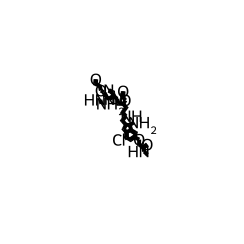 CNC(=O)COc1cc(Cl)c2c(c1)C(N)C(CNCCC1CN(c3cnc(OCC=O)c(NN)n3)C(=O)O1)C2